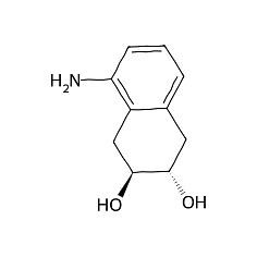 Nc1cccc2c1C[C@H](O)[C@@H](O)C2